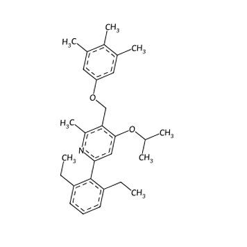 CCc1cccc(CC)c1-c1cc(OC(C)C)c(COc2cc(C)c(C)c(C)c2)c(C)n1